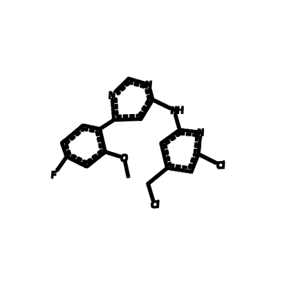 COc1cc(F)ccc1-c1cc(Nc2cc(CCl)cc(Cl)n2)ncn1